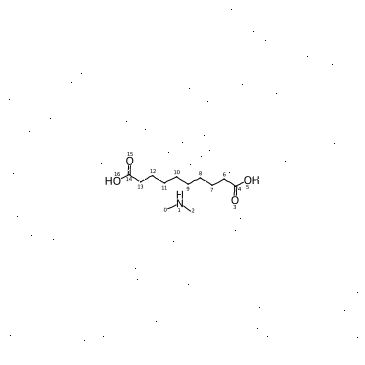 CNC.O=C(O)CCCCCCCCC(=O)O